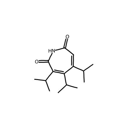 CC(C)c1cc(=O)[nH]c(=O)c(C(C)C)c1C(C)C